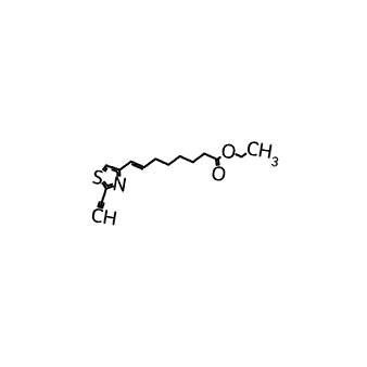 C#Cc1nc(/C=C/CCCCCC(=O)OCC)cs1